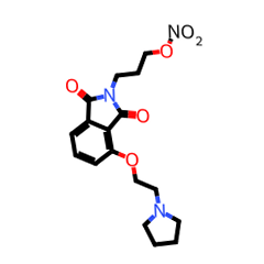 O=C1c2cccc(OCCN3CCCC3)c2C(=O)N1CCCO[N+](=O)[O-]